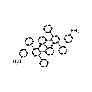 Bc1cccc(-c2cc(-c3ccccc3)c3c4cccc5c6c(-c7ccccc7)c(-c7cccc(B)c7)cc(-c7ccccc7)c6c6cccc(c3c2-c2ccccc2)c6c45)c1